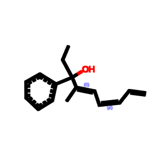 C=C/C=C\C=C(/C)C(O)(CC)c1ccccc1